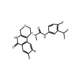 CN(C(=O)Nc1ccc(F)c(C(F)F)c1)[C@H]1COCc2[nH]c(=O)c3cc(F)c(F)cc3c21